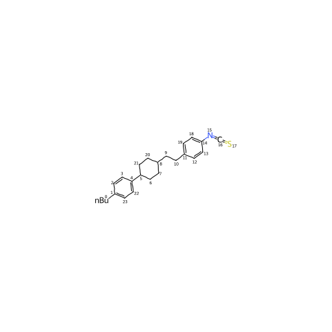 CCCCc1ccc(C2CCC(CCc3ccc(N=C=S)cc3)CC2)cc1